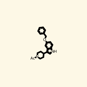 CC(=O)N1CCC(c2c[nH]c3ccc(OCc4ccccc4)cc23)CC1